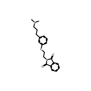 CN(C)CCCc1cccc(OCCN2C(=O)c3ccccc3C2=O)c1